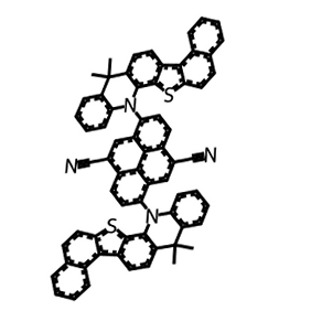 CC1(C)c2ccccc2N(c2ccc3c(C#N)cc4c(N5c6ccccc6C(C)(C)c6ccc7c(sc8ccc9ccccc9c87)c65)ccc5c(C#N)cc2c3c54)c2c1ccc1c2sc2ccc3ccccc3c21